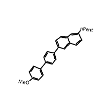 CCCCCc1ccc2cc(-c3ccc(-c4ccc(OC)cc4)cc3)ccc2c1